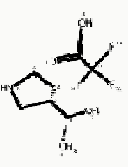 C[C@@H](O)[C@H]1CCNC1.O=C(O)C(F)(F)F